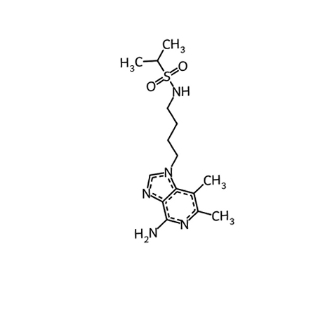 Cc1nc(N)c2ncn(CCCCNS(=O)(=O)C(C)C)c2c1C